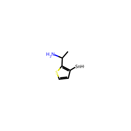 CC(N)c1scc[c]1[SnH]